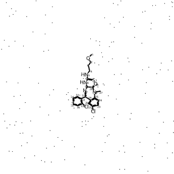 COCCCNC(=S)NC1N=C(c2ccccc2Cl)c2cc(Cl)ccc2N(C)C1=O